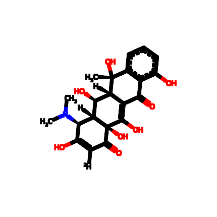 [2H]C1=C(O)[C@@H](N(C)C)[C@@H]2[C@@H](O)[C@H]3C(=C(O)[C@]2(O)C1=O)C(=O)c1c(O)cccc1[C@@]3(C)O